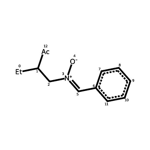 CCC(C[N+]([O-])=Cc1ccccc1)C(C)=O